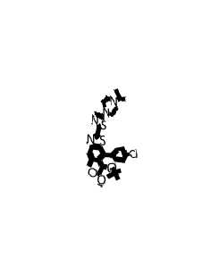 COC(=O)C(OC(C)(C)C)c1c(C)cc2nc(-c3ncc(N4CCN(C(C)C)CC4)s3)sc2c1-c1ccc(Cl)cc1